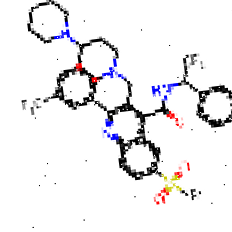 CC(C)S(=O)(=O)c1ccc2nc(-c3cccc(C(F)(F)F)c3)c(CN3CCC(N4CCCCC4)CC3)c(C(=O)N[C@H](c3ccccc3)C(F)(F)F)c2c1